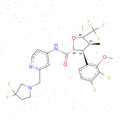 COc1c([C@H]2[C@H](C(=O)Nc3ccnc(CN4CCC(F)(F)C4)c3)O[C@@](C)(C(F)(F)F)[C@H]2C)ccc(F)c1F